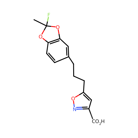 CC1(F)Oc2ccc(CCCc3cc(C(=O)O)no3)cc2O1